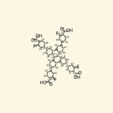 O=C(O)c1ccc(-c2ccc(C(=C(c3ccc(-c4ccc(C(=O)O)c(F)c4)cc3)c3ccc(-c4ccc(C(=O)O)c(F)c4)cc3)c3ccc(-c4ccc(C(=O)O)c(F)c4)cc3)cc2)cc1F